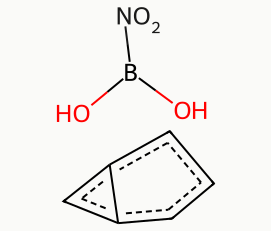 O=[N+]([O-])B(O)O.c1cc2cc-2c1